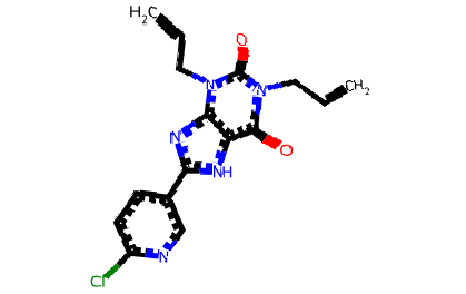 C=CCn1c(=O)c2[nH]c(-c3ccc(Cl)nc3)nc2n(CC=C)c1=O